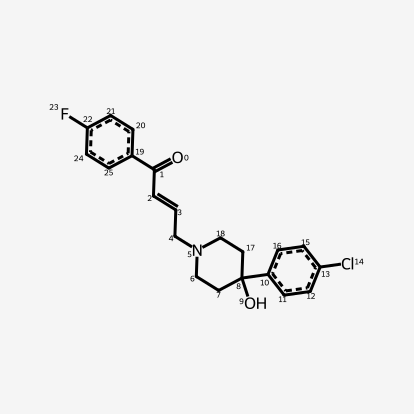 O=C(C=CCN1CCC(O)(c2ccc(Cl)cc2)CC1)c1ccc(F)cc1